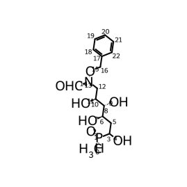 C[PH](=O)C(O)C[C@@H](O)[C@@H](O)[C@@H](O)CN(C=O)OCc1ccccc1